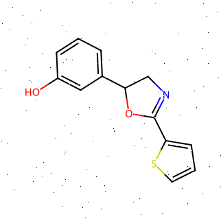 Oc1cccc(C2CN=C(c3cccs3)O2)c1